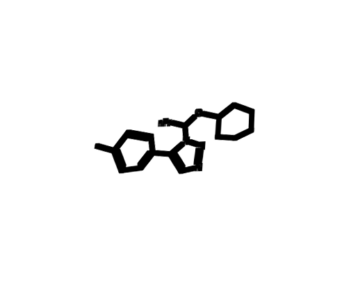 CCCC(OC1CCCCC1)n1nncc1-c1ccc(C)cc1